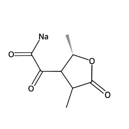 CC1C(=O)O[C@@H](C)C1C(=O)[C](=O)[Na]